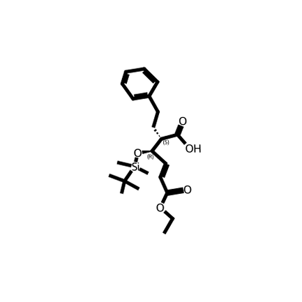 CCOC(=O)C=C[C@@H](O[Si](C)(C)C(C)(C)C)[C@H](CCc1ccccc1)C(=O)O